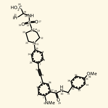 CNc1ccc(C#Cc2ccc(N3CCN(S(=O)(=O)NC(C(=O)O)C(C)C)CC3)cc2)cc1C(=O)NCc1ccc(OC)cc1